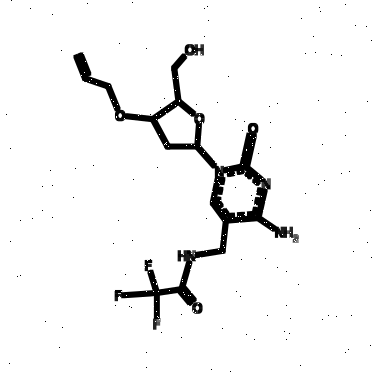 C=CCOC1CC(n2cc(CNC(=O)C(F)(F)F)c(N)nc2=O)OC1CO